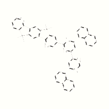 CC1(C)c2cc3c(cc2-c2ncccc21)C(C)(C)c1cc(-c2nc(-c4cc(-c5cccc6ccccc56)ncn4)cc(-c4cccc5ccccc45)n2)cnc1-3